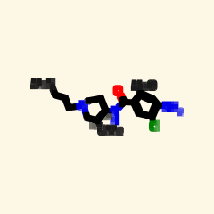 CNCCCN1CC[C@@H](NC(=O)c2cc(Cl)c(N)cc2OC)[C@@H](OC)C1